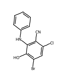 N#Cc1c(Cl)cc(Br)c(O)c1Nc1ccccc1